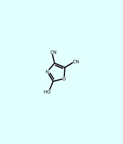 N#Cc1nc(O)oc1C#N